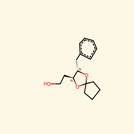 OCC[C@@H]1OC2(CCCC2)O[C@H]1Cc1ccccc1